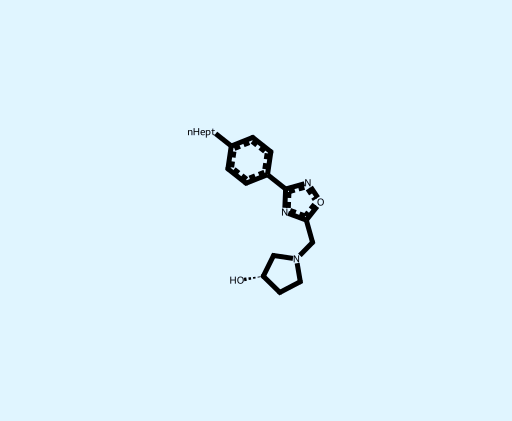 CCCCCCCc1ccc(-c2noc(CN3CC[C@H](O)C3)n2)cc1